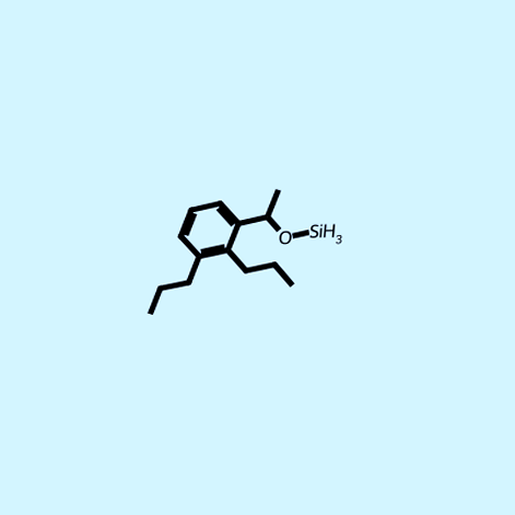 CCCc1cccc(C(C)O[SiH3])c1CCC